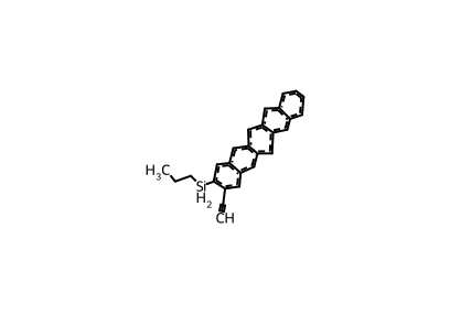 C#Cc1cc2cc3cc4cc5ccccc5cc4cc3cc2cc1[SiH2]CCC